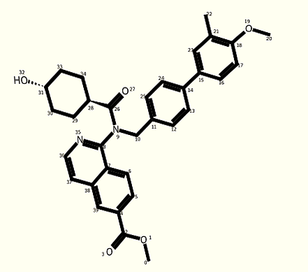 COC(=O)c1ccc2c(N(Cc3ccc(-c4ccc(OC)c(C)c4)cc3)C(=O)[C@H]3CC[C@H](O)CC3)nccc2c1